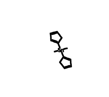 [CH3][Sn]([CH3])([C]1=CC=CC1)[C]1=CC=CC1